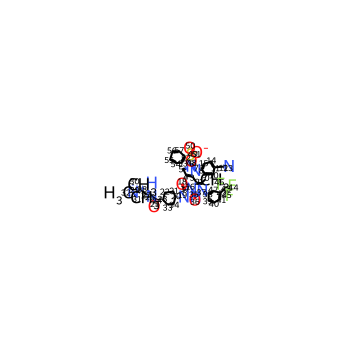 Cc1c(-c2ccnn2-c2ccc(C#N)cc2)n(C(=O)N[C@H]2CC[C@H](C(=O)NCC[N+](C)(C)C)CC2)c(=O)n1-c1cccc(C(F)(F)F)c1.O=S(=O)([O-])c1ccccc1